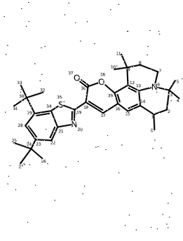 CC1CC(C)(C)N2CCC(C)(C)c3c2c1cc1cc(-c2nc4cc(C(C)(C)C)cc(C(C)(C)C)c4s2)c(=O)oc31